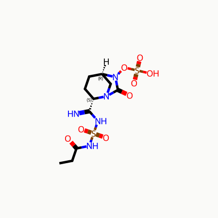 CCC(=O)NS(=O)(=O)NC(=N)[C@@H]1CC[C@@H]2CN1C(=O)N2OS(=O)(=O)O